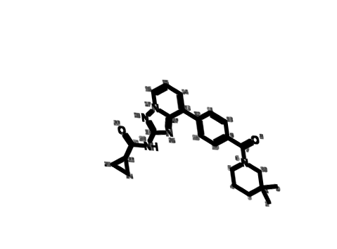 CC1(C)CCCN(C(=O)c2ccc(-c3cccn4nc(NC(=O)C5CC5)nc34)cc2)C1